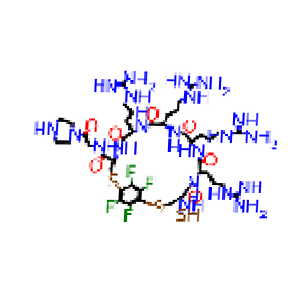 N=C(N)NCCCC1NC(=O)C(NS)CSc2c(F)c(F)c(c(F)c2F)SCC(C(=O)NCC(=O)N2CCNCC2)NC(=O)C(CCCNC(=N)N)NC(=O)C(CCCNC(=N)N)NC(=O)C(CCCNC(=N)N)NC1=O